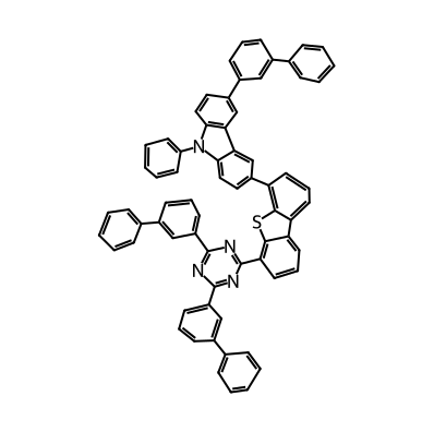 c1ccc(-c2cccc(-c3ccc4c(c3)c3cc(-c5cccc6c5sc5c(-c7nc(-c8cccc(-c9ccccc9)c8)nc(-c8cccc(-c9ccccc9)c8)n7)cccc56)ccc3n4-c3ccccc3)c2)cc1